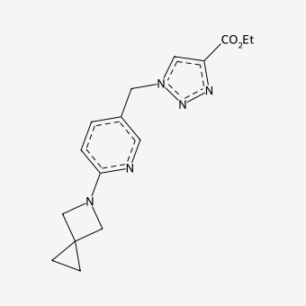 CCOC(=O)c1cn(Cc2ccc(N3CC4(CC4)C3)nc2)nn1